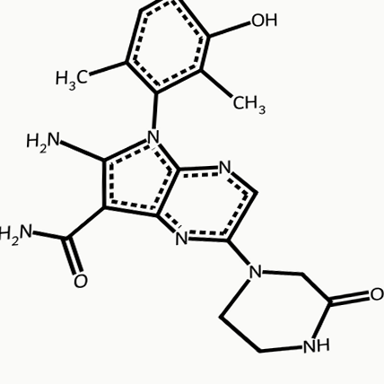 Cc1ccc(O)c(C)c1-n1c(N)c(C(N)=O)c2nc(N3CCNC(=O)C3)cnc21